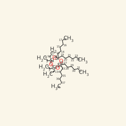 C=C[Si]1(C=C)O[Si](C=C)(C=C)O[Si](CCCCCC)(CCCCCC)O[Si](CCCCCC)(CCCCCC)O1